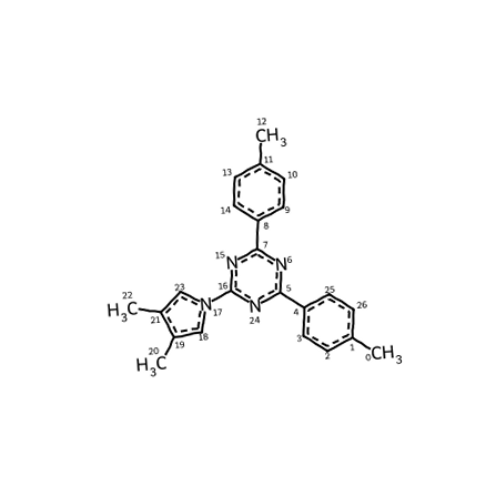 Cc1ccc(-c2nc(-c3ccc(C)cc3)nc(-n3cc(C)c(C)c3)n2)cc1